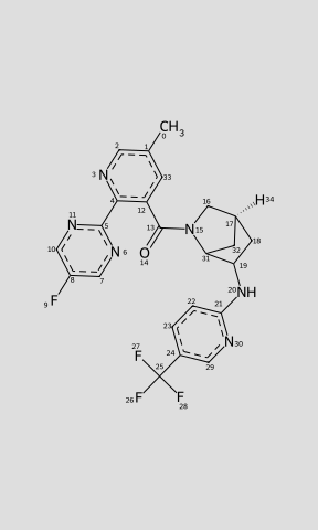 Cc1cnc(-c2ncc(F)cn2)c(C(=O)N2C[C@H]3CC(Nc4ccc(C(F)(F)F)cn4)C2C3)c1